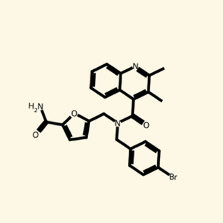 Cc1nc2ccccc2c(C(=O)N(Cc2ccc(Br)cc2)Cc2ccc(C(N)=O)o2)c1C